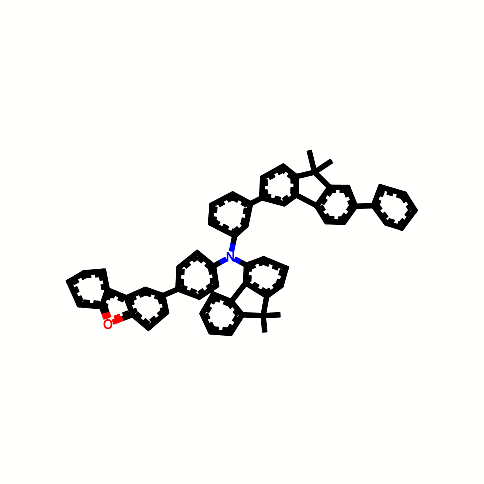 CC1(C)c2ccc(-c3cccc(N(c4ccc(-c5ccc6oc7ccccc7c6c5)cc4)c4cccc5c4-c4ccccc4C5(C)C)c3)cc2-c2ccc(-c3ccccc3)cc21